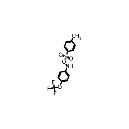 Cc1ccc(S(=O)(=O)ONc2ccc(OC(F)(F)F)cc2)cc1